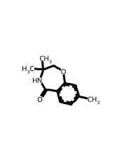 Cc1ccc2c(c1)OCC(C)(C)NC2=O